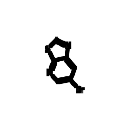 Brc1cnc2s[c]nc2c1